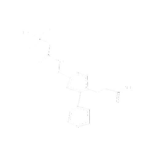 CC(C)(C)OC(=O)NCc1ccc(OCC(N)=O)c(-c2ccncc2)c1